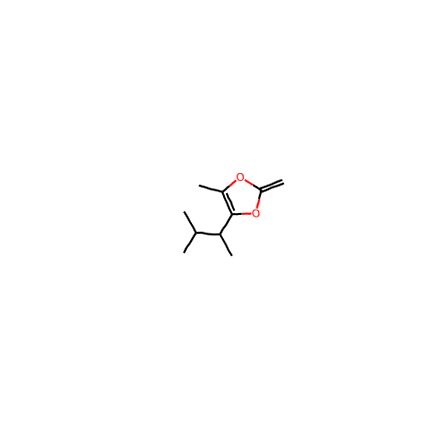 C=C1OC(C)=C(C(C)C(C)C)O1